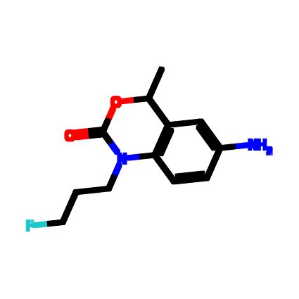 CC1OC(=O)N(CCCF)c2ccc(N)cc21